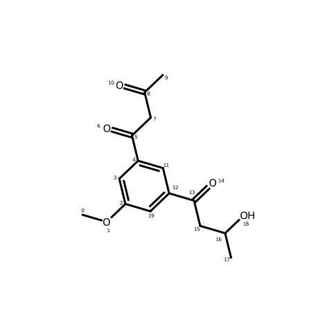 COc1cc(C(=O)CC(C)=O)cc(C(=O)CC(C)O)c1